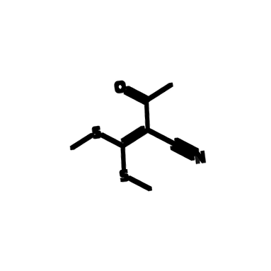 CSC(SC)=C(C#N)C(C)=O